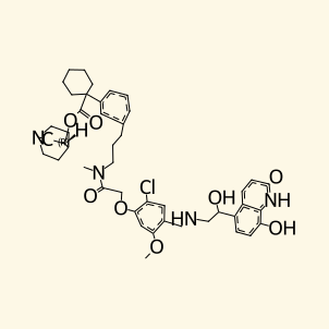 COc1cc(OCC(=O)N(C)CCCc2cccc(C3(C(=O)O[C@H]4CN5CCC4CC5)CCCCC3)c2)c(Cl)cc1CNCC(O)c1ccc(O)c2[nH]c(=O)ccc12